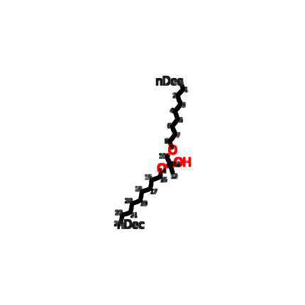 CCCCCCCCCCCCCCCCCCOCC(C)(O)OCCCCCCCCCCCCCCCCCC